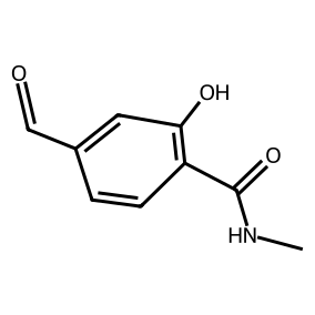 CNC(=O)c1ccc(C=O)cc1O